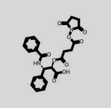 O=C(CCC(=O)ON1C(=O)CCC1=O)O[C@@H](C(=O)O)[C@@H](NC(=O)c1ccccc1)c1ccccc1